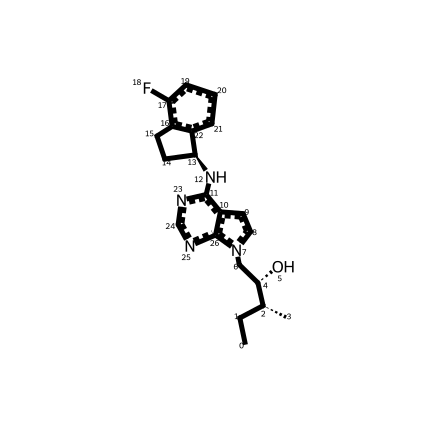 CC[C@@H](C)[C@@H](O)Cn1ccc2c(N[C@H]3CCc4c(F)cccc43)ncnc21